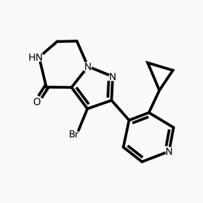 O=C1NCCn2nc(-c3ccncc3C3CC3)c(Br)c21